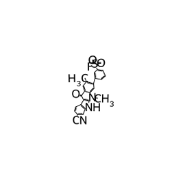 Cc1cc2c(=O)c3c4ccc(C#N)cc4[nH]c3n(C)c2cc1-c1cccc(S(=O)(=O)F)c1